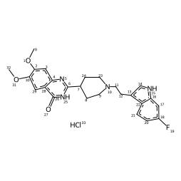 COc1cc2nc(C3CCN(CCc4c[nH]c5cc(F)ccc45)CC3)[nH]c(=O)c2cc1OC.Cl